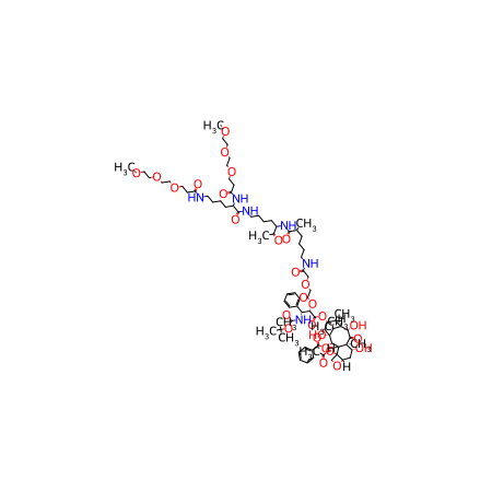 COCCOCCOCCC(=O)NCCCCC(NC(=O)CCOCCOCCOC)C(=O)NCCCCC(NC(=O)C(C)CCCCNC(=O)COCC(=O)O[C@H](C(=O)OC1C[C@]2(O)[C@H](OC(=O)c3ccccc3)[C@H]3[C@@]4(OC(C)=O)CO[C@H]4C[C@@H](O)[C@]3(C)C(=O)[C@@H](O)[C@@H](C1C)C2(C)C)[C@H](NC(=O)OC(C)(C)C)c1ccccc1)C(C)=O